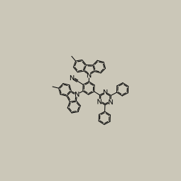 Cc1ccc2c(c1)c1ccccc1n2-c1cc(-c2nc(-c3ccccc3)nc(-c3ccccc3)n2)cc(-n2c3ccccc3c3cc(C)ccc32)c1C#N